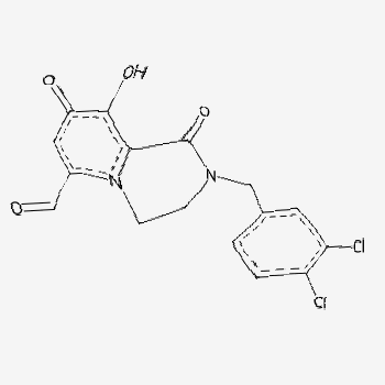 O=Cc1cc(=O)c(O)c2n1CCN(Cc1ccc(Cl)c(Cl)c1)C2=O